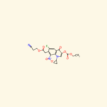 CCOC(=O)Oc1cn(C2CC2)c2c([N+](=O)[O-])c(CC(=O)OCCC#N)c(F)cc2c1=O